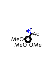 COc1cc(C(C(C)=O)N(C)C)cc(OC)c1OC